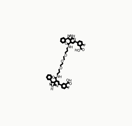 O=C(O)c1cc(-c2cc(C(=O)NCCCOCCOCCOCCCNC(=O)c3cc(-c4ccc(F)c(C(=O)O)c4)nc4[nH]nc(-c5ccccc5)c34)c3c(-c4ccccc4)n[nH]c3n2)ccc1F